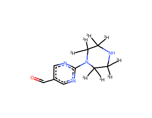 [2H]C1([2H])NC([2H])([2H])C([2H])([2H])N(c2ncc(C=O)cn2)C1([2H])[2H]